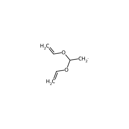 [CH2]C(OC=C)OC=C